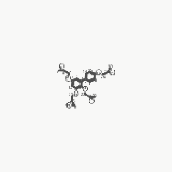 c1cc(-c2cc(OCC3CO3)cc(OCC3CO3)c2OCC2CO2)ccc1OCC1CO1